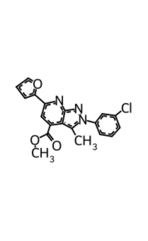 COC(=O)c1cc(-c2ccco2)nc2nn(-c3cccc(Cl)c3)c(C)c12